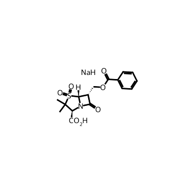 CC1(C)[C@H](C(=O)O)N2C(=O)[C@@H](COC(=O)c3ccccc3)[C@H]2S1(=O)=O.[NaH]